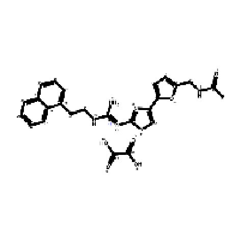 CC(=O)NCc1ccc(-c2csc(/N=C(\N)NCCc3cccc4ccccc34)n2)o1.O=C(O)C(=O)O